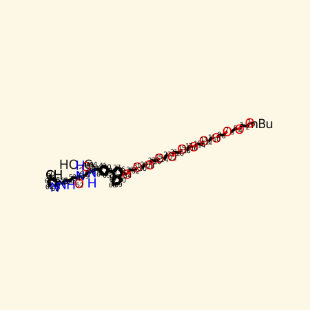 CCCCOCCOCCOCCOCCOCCOCCOCCOCCOCCOCCOCCOc1ccc(-c2ccc([C@H](CC(=O)O)NC(=O)CNC(=O)CCCNc3cc(C)ccn3)cc2)c2ccccc12